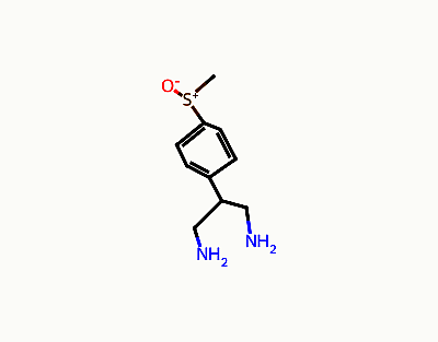 C[S+]([O-])c1ccc(C(CN)CN)cc1